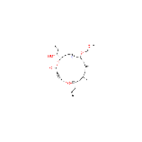 C=CC[C@H]1CC(C)CC(=C)CC(OCOC)/C=C/CC(C(O)C=C)OC(=O)C#CCO1